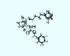 O=C(N[C@H]1[C@H]2CC[C@H](C2)[C@@H]1C=CCCCc1nnn[nH]1)OCc1ccccc1